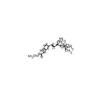 CCOC(=O)c1cc2cc(C=CC(=O)OC(C)(C)C)ccc2[nH]1